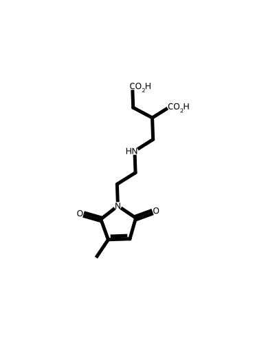 CC1=CC(=O)N(CCNCC(CC(=O)O)C(=O)O)C1=O